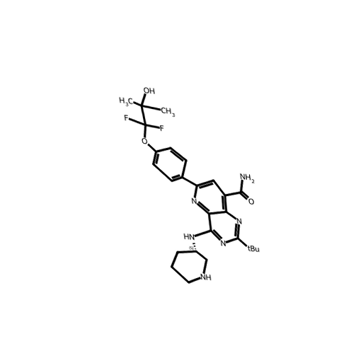 CC(C)(C)c1nc(N[C@H]2CCCNC2)c2nc(-c3ccc(OC(F)(F)C(C)(C)O)cc3)cc(C(N)=O)c2n1